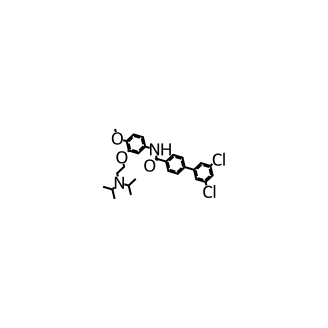 COc1ccc(NC(=O)c2ccc(-c3cc(Cl)cc(Cl)c3)cc2)cc1OCCN(C(C)C)C(C)C